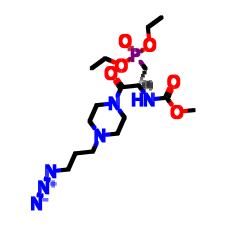 CCOP(=O)(C[C@H](NC(=O)OC)C(=O)N1CCN(CCCN=[N+]=[N-])CC1)OCC